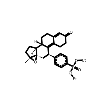 CCOP(=O)(OCC)c1ccc([C@H]2C[C@]34O[C@@]3(C)CC[C@H]4[C@@H]3CCC4=CC(=O)CCC4=C32)cc1